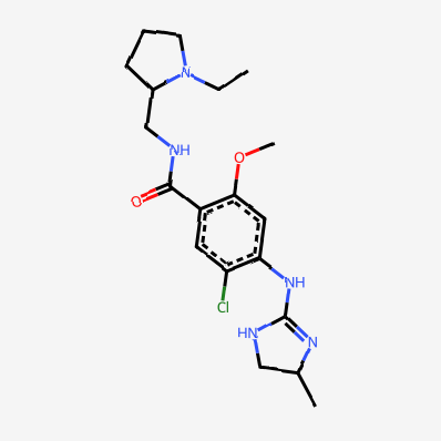 CCN1CCCC1CNC(=O)c1cc(Cl)c(NC2=NC(C)CN2)cc1OC